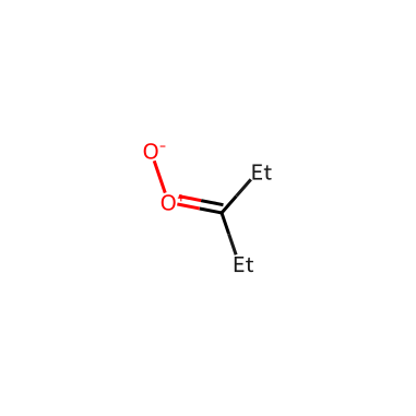 CCC(CC)=[O+][O-]